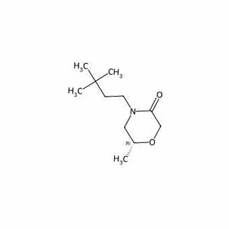 C[C@@H]1CN(CCC(C)(C)C)C(=O)CO1